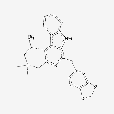 CC1(C)Cc2nc(Cc3ccc4c(c3)OCO4)c3[nH]c4ccccc4c3c2C(O)C1